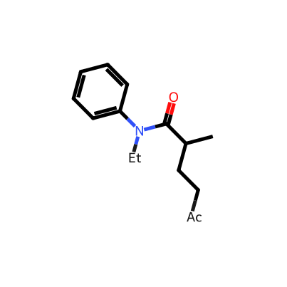 CCN(C(=O)C(C)CCC(C)=O)c1ccccc1